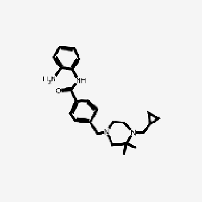 CC1(C)CN(Cc2ccc(C(=O)Nc3ccccc3N)cc2)CCN1CC1CC1